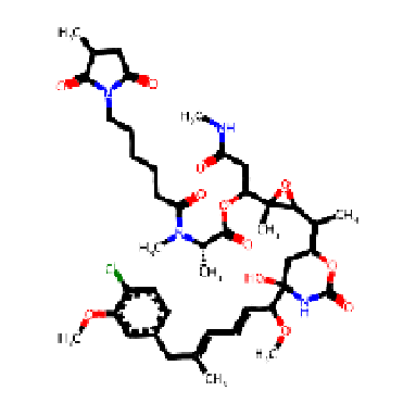 CNC(=O)CC(OC(=O)[C@H](C)N(C)C(=O)CCCCCN1C(=O)CC(C)C1=O)C1(C)OC1C(C)C1CC(O)(C(/C=C/C=C(\C)Cc2ccc(Cl)c(OC)c2)OC)NC(=O)O1